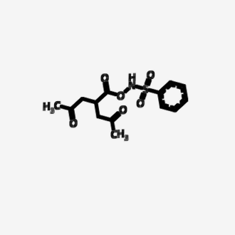 CC(=O)CC(CC(C)=O)C(=O)ONS(=O)(=O)c1ccccc1